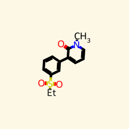 CCS(=O)(=O)c1cccc(-c2cccn(C)c2=O)c1